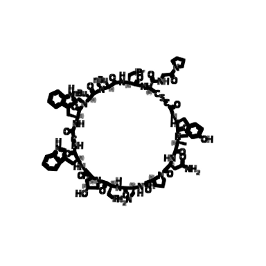 CCCC[C@H]1C(=O)N(C)[C@@H](CCCC)C(=O)N[C@@H](CC(C)C)C(=O)N[C@H](C(=O)NCC(=O)N2CCCC2)CSCC(=O)N[C@@H](Cc2ccc(O)cc2)C(=O)N(C)[C@@H](C)C(=O)N[C@@H](CC(N)=O)C(=O)N2CCC[C@H]2C(=O)N[C@@H](CN)C(=O)N[C@@H](CC(C)C)C(=O)N2C[C@H](O)C[C@H]2C(=O)N[C@@H](Cc2c[nH]c3ccccc23)C(=O)NCC(=O)N[C@@H](Cc2c[nH]c3ccccc23)C(=O)N1C